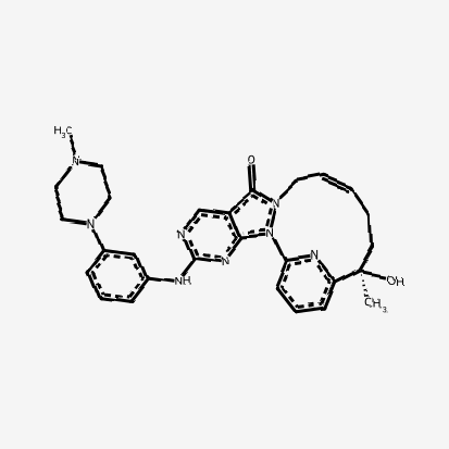 CN1CCN(c2cccc(Nc3ncc4c(=O)n5n(c4n3)-c3cccc(n3)[C@](C)(O)CC/C=C\C5)c2)CC1